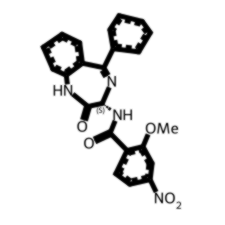 COc1cc([N+](=O)[O-])ccc1C(=O)N[C@H]1N=C(c2ccccc2)c2ccccc2NC1=O